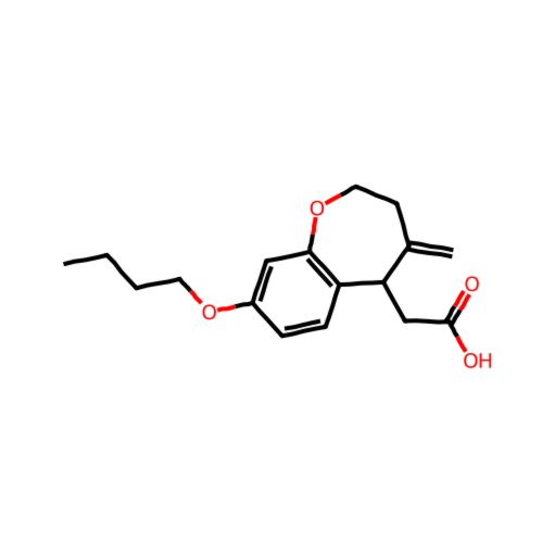 C=C1CCOc2cc(OCCCC)ccc2C1CC(=O)O